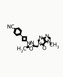 C=C1OC(Cn2cnc3ncn(C)c3c2=O)=NN1[C@H]1C[C@H](c2ccc(C#N)cc2)C1